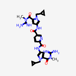 CN(C(=N)N)C(=O)c1cc(NC(=O)c2ccc(C(=O)Nc3cc(C(=O)N(C)C(=N)N)n(CC4CC4)c3)nc2)cn1CC1CC1